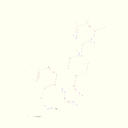 Cc1nc(N2CCC(c3nnc4n3-c3ccc(Cl)cc3CN(CC(F)(F)F)C4)CC2)ncc1F